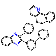 c1ccc(-c2nc3ccccc3nc2-c2cccc(-c3cccc(-c4cc5cccnc5c5ccccc45)c3)c2)cc1